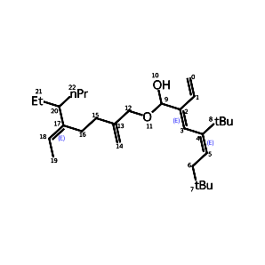 C=C/C(=C\C(=C/CC(C)(C)C)C(C)(C)C)C(O)OCC(=C)CC/C(=C\C)C(CC)CCC